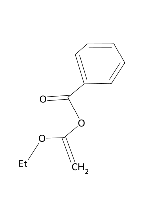 C=C(OCC)OC(=O)c1ccccc1